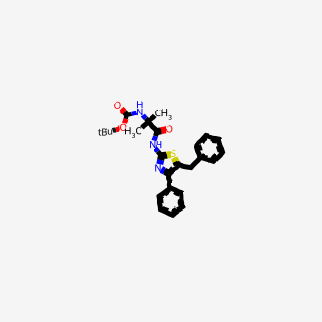 CC(C)(C)OC(=O)NC(C)(C)C(=O)Nc1nc(-c2ccccc2)c(Cc2ccccc2)s1